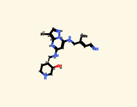 CN/C(=C\C=N)CNc1cc(NC[C@H]2CCNC[C@@H]2O)nc2c(C(C)C)cnn12